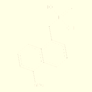 CCCCc1cccc2c(CP(=O)(O)O)cccc12